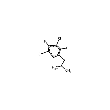 CC(C)Cc1cc(Cl)c(F)c(Cl)c1F